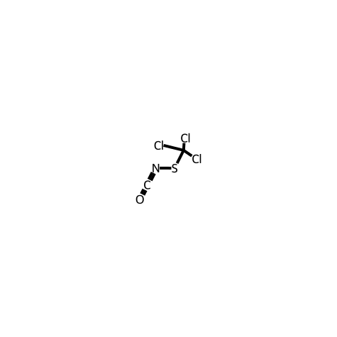 O=C=NSC(Cl)(Cl)Cl